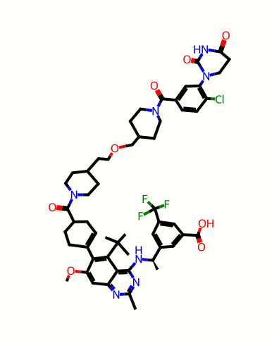 COc1cc2nc(C)nc(N[C@H](C)c3cc(C(=O)O)cc(C(F)(F)F)c3)c2c(C(C)(C)C)c1C1=CCC(C(=O)N2CCC(CCOCC3CCN(C(=O)c4ccc(Cl)c(N5CCC(=O)NC5=O)c4)CC3)CC2)CC1